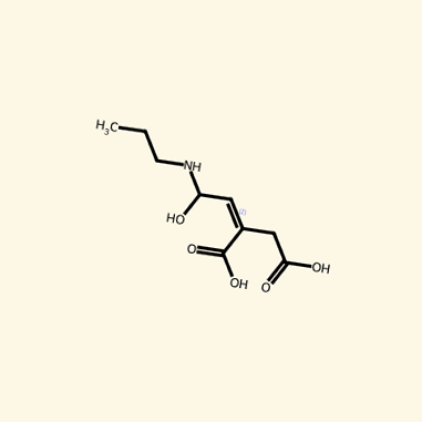 CCCNC(O)/C=C(/CC(=O)O)C(=O)O